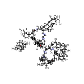 CC[C@H](C)[C@H]1O[C@]2(C=C[C@@H]1C)C[C@@H]1C[C@@H](C/C=C(\C)[C@@H](O[C@H]3C[C@H](OC)[C@@H](O[C@H]4C[C@H](OC)[C@@H](O)[C@H](C)O4)[C@H](C)O3)[C@@H](C)/C=C/C=C3\CO[C@@H]4[C@H](O)C(C)=C[C@@H](C(=O)O1)[C@]34O)O2.CO[C@H]1C[C@H](O[C@H]2[C@H](C)O[C@@H](O[C@@H]3/C(C)=C/C[C@@H]4C[C@@H](C[C@]5(C=C[C@H](C)[C@@H](C(C)C)O5)O4)OC(=O)[C@@H]4C=C(C)[C@@H](O)[C@H]5OC/C(=C\C=C\[C@@H]3C)[C@]54O)C[C@@H]2OC)O[C@@H](C)[C@@H]1O.O[C@@H]1CO[C@H]2[C@@H]1OC[C@@H]2O